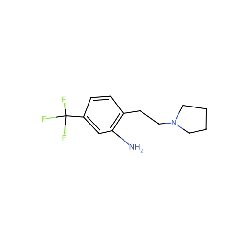 Nc1cc(C(F)(F)F)ccc1CCN1CCCC1